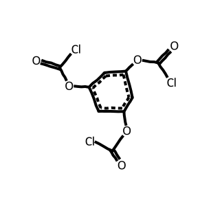 O=C(Cl)Oc1cc(OC(=O)Cl)cc(OC(=O)Cl)c1